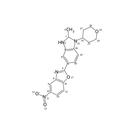 CC1Nc2cc(-c3nc4cc([N+](=O)[O-])ccc4o3)ccc2N1C1CCOCC1